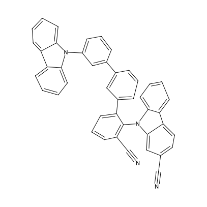 N#Cc1ccc2c3ccccc3n(-c3c(C#N)cccc3-c3cccc(-c4cccc(-n5c6ccccc6c6ccccc65)c4)c3)c2c1